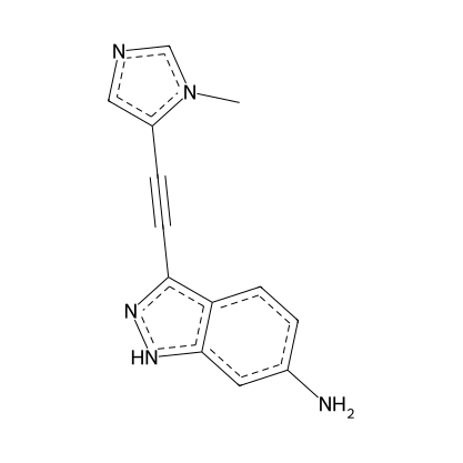 Cn1cncc1C#Cc1n[nH]c2cc(N)ccc12